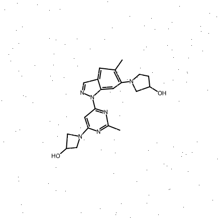 Cc1nc(N2CC(O)C2)cc(-n2ncc3cc(C)c(N4CCC(O)C4)cc32)n1